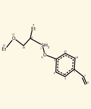 C=Cc1ccc(O[SiH2]C(CC)COCC)cc1